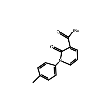 Cc1ccc(-n2cccc(C(=O)C(C)(C)C)c2=O)cc1